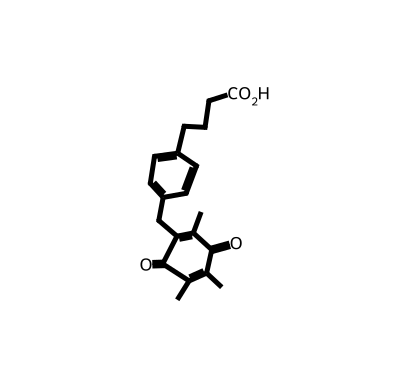 CC1=C(C)C(=O)C(Cc2ccc(CCCC(=O)O)cc2)=C(C)C1=O